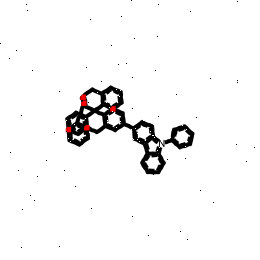 c1ccc(-c2cccc3c2C2(c4ccccc4Cc4cc(-c5ccc6c(c5)c5ccccc5n6-c5ccccc5)ccc42)c2ccccc2C3)cc1